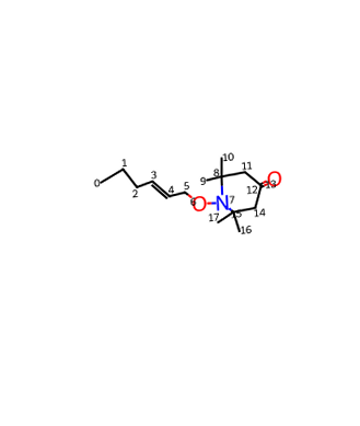 CCC/C=C/CON1C(C)(C)CC(=O)CC1(C)C